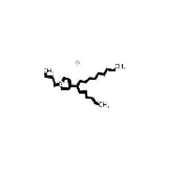 CCCCCCCCCC(CCCCCC)c1cc[n+](CCCC)cc1.[Br-]